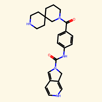 O=C(Nc1ccc(C(=O)N2CCCC3(CCNCC3)C2)cc1)N1C=C2C=CNC=C2C1